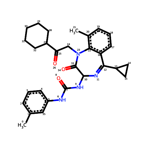 Cc1cccc(NC(=O)NC2N=C(C3CC3)c3cccc(C)c3N(CC(=O)C3CCCCC3)C2=O)c1